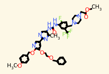 CCOC(=O)CN1CCN(Cc2cc(F)c(NC(=O)Nc3cnc(-c4cnc(OCc5ccc(OC)cc5)c(OCCOCc5ccccc5)c4)nc3C)cc2C(F)(F)F)CC1